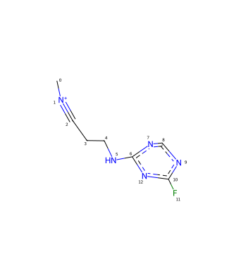 C[N+]#CCCNc1n[c]nc(F)n1